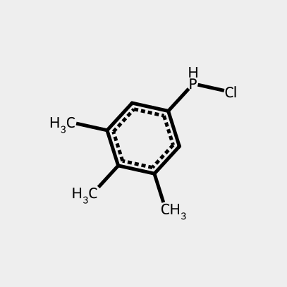 Cc1cc(PCl)cc(C)c1C